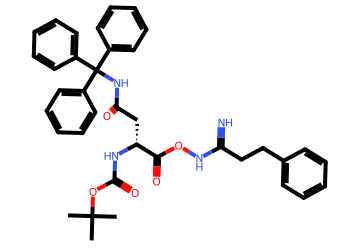 CC(C)(C)OC(=O)N[C@H](CC(=O)NC(c1ccccc1)(c1ccccc1)c1ccccc1)C(=O)ONC(=N)CCc1ccccc1